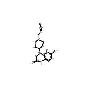 [N-]=[N+]=NCC1CCC(N2CC(=O)Nc3ccc(Cl)nc32)CC1